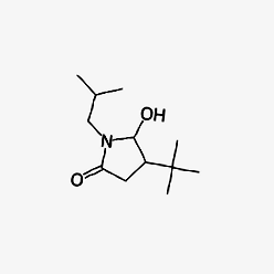 CC(C)CN1C(=O)CC(C(C)(C)C)C1O